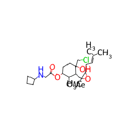 COC1C(OC(=O)CNC2CCC2)CCC(O)(CCl)C1C1(C)OC1CC=C(C)C